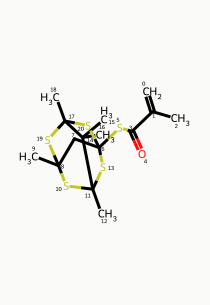 C=C(C)C(=O)SC12CC3(C)SC(C)(S1)C(C)(C)C(C)(S3)S2